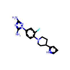 Nc1nc(N)n(-c2ccc(N3CCC(c4ccc[nH]4)CC3)c(F)c2)n1